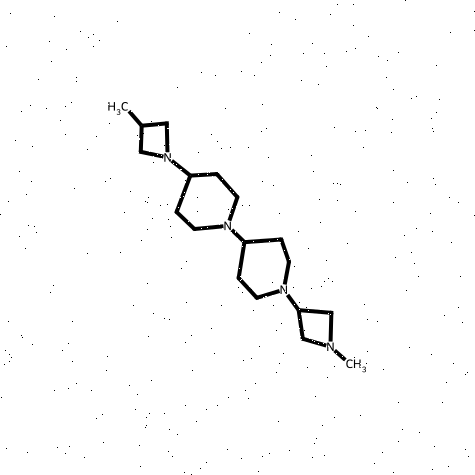 CC1CN(C2CCN(C3CCN(C4CN(C)C4)CC3)CC2)C1